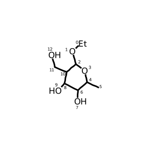 CCOC1OC(C)C(O)C(O)C1CO